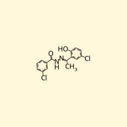 C/C(=N\NC(=O)c1cccc(Cl)c1)c1cc(Cl)ccc1O